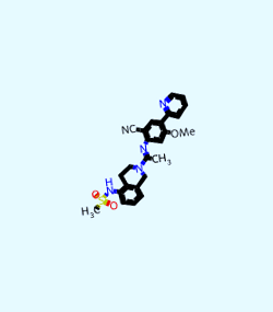 COc1cc(N=C(C)N2CCc3c(cccc3NS(C)(=O)=O)C2)c(C#N)cc1-c1ccccn1